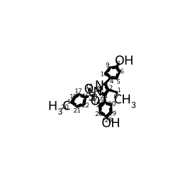 CCc1c(-c2ccc(O)cc2)nn(S(=O)(=O)c2ccc(C)cc2)c1-c1ccc(O)cc1